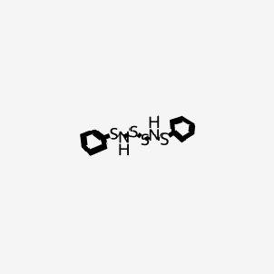 c1ccc(SNSSNSc2ccccc2)cc1